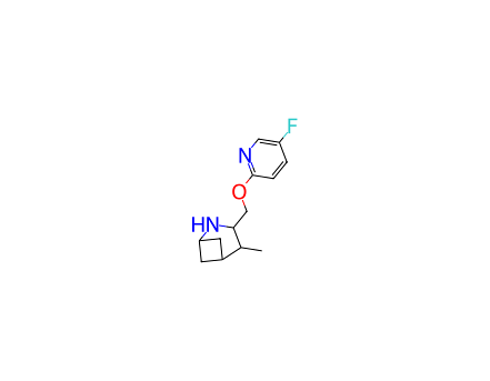 CC1C2CC(C2)NC1COc1ccc(F)cn1